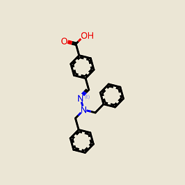 O=C(O)c1ccc(/C=N/N(Cc2ccccc2)Cc2ccccc2)cc1